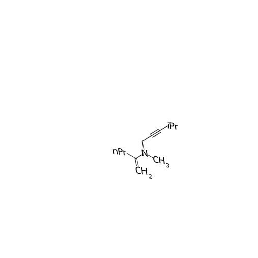 C=C(CCC)N(C)CC#CC(C)C